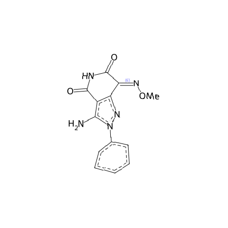 CO/N=C1/C(=O)NC(=O)c2c1nn(-c1ccccc1)c2N